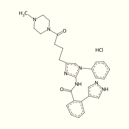 CN1CCN(C(=O)CCCc2cn(-c3ccccc3)c(NC(=O)c3ccccc3-c3cn[nH]c3)n2)CC1.Cl